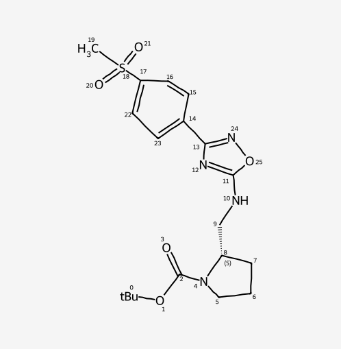 CC(C)(C)OC(=O)N1CCC[C@H]1CNc1nc(-c2ccc(S(C)(=O)=O)cc2)no1